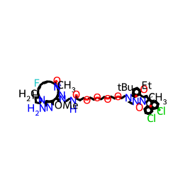 C=C1/C=C(F)\C=C/CC(=O)N(C)Cc2nn(CCNC(=O)CCOCCOCCOCCOCCN3CCN(C(=O)N4C(c5ccc(C(C)(C)C)cc5OCC)=C[C@@](C)(c5ccc(Cl)cc5)[C@H]4c4ccc(Cl)cc4)CC3)c(OC)c2-c2cnc(N)c(c2)N2CCC[C@H]12